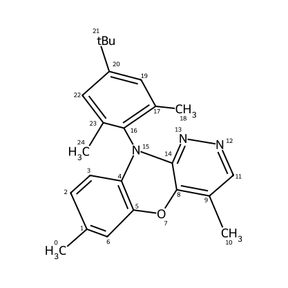 Cc1ccc2c(c1)Oc1c(C)cnnc1N2c1c(C)cc(C(C)(C)C)cc1C